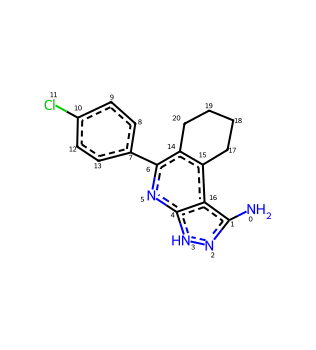 Nc1n[nH]c2nc(-c3ccc(Cl)cc3)c3c(c12)CCCC3